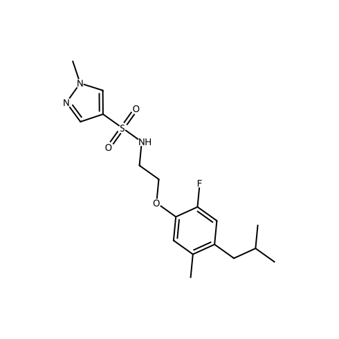 Cc1cc(OCCNS(=O)(=O)c2cnn(C)c2)c(F)cc1CC(C)C